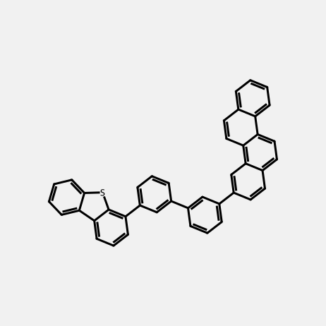 c1cc(-c2cccc(-c3cccc4c3sc3ccccc34)c2)cc(-c2ccc3ccc4c5ccccc5ccc4c3c2)c1